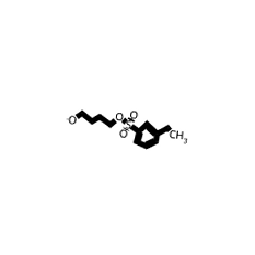 CCc1cccc(S(=O)(=O)OCCCC[O])c1